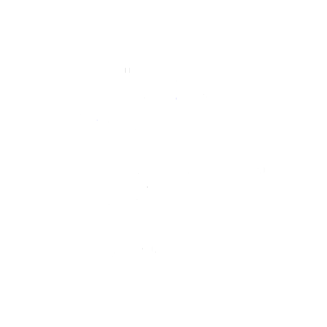 CCCCCCCCC1(CCCCCCCC)c2cc(-c3cc(/C=C/c4cccs4)c(C(C)C)cc3/C=C/c3cccs3)ccc2-c2ccc(C(C)C)cc21